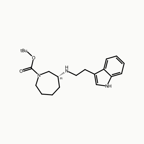 CC(C)(C)OC(=O)N1CCCC[C@@H](NCCc2c[nH]c3ccccc23)C1